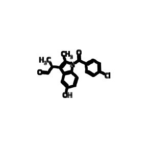 Cc1c([C@H](C)C=O)c2cc(O)ccc2n1C(=O)c1ccc(Cl)cc1